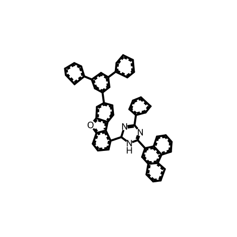 c1ccc(C2=NC(c3cccc4oc5cc(-c6cc(-c7ccccc7)cc(-c7ccccc7)c6)ccc5c34)NC(c3cc4ccccc4c4ccccc34)=N2)cc1